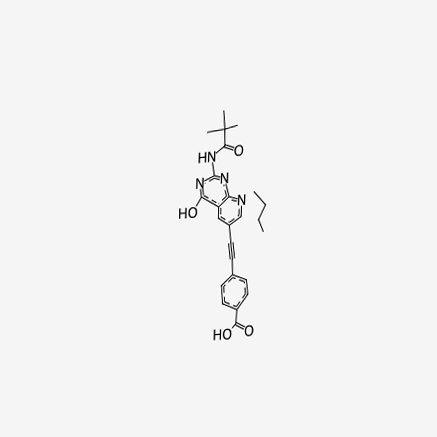 CC(C)(C)C(=O)Nc1nc(O)c2cc(C#Cc3ccc(C(=O)O)cc3)cnc2n1.CCCC